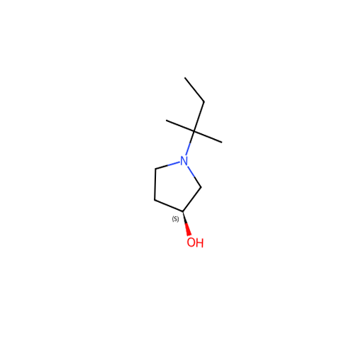 CCC(C)(C)N1CC[C@H](O)C1